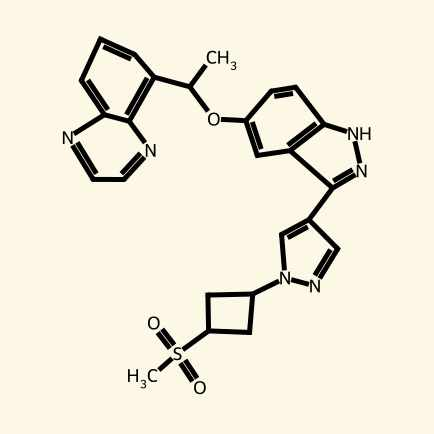 CC(Oc1ccc2[nH]nc(-c3cnn(C4CC(S(C)(=O)=O)C4)c3)c2c1)c1cccc2nccnc12